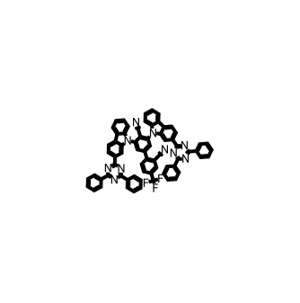 N#Cc1cc(C(F)(F)F)ccc1-c1cc(-n2c3ccccc3c3ccc(-c4nc(-c5ccccc5)nc(-c5ccccc5)n4)cc32)c(C#N)c(-n2c3ccccc3c3ccc(-c4nc(-c5ccccc5)nc(-c5ccccc5)n4)cc32)c1